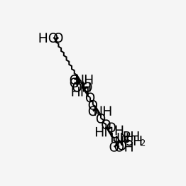 O=C(O)CCCCCCCCCCCCCCCCC(=O)N[C@@H](CCC(=O)NCCOCCOCC(=O)NCCOCCOCC(=O)NCCCCC(NC(=O)C(CS)NP)C(=O)O)C(=O)O